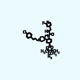 CC1(C)OB(c2ccc3c(c2)C2(CCN(CC=Cc4ccc(Cl)cc4)CC2)CN3C(=O)NCc2ccnc(F)c2)OC1(C)C